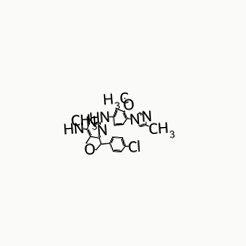 CNc1nc(Nc2ccc(-n3cnc(C)c3)c(OC)c2)nc2c1COCC2c1ccc(Cl)cc1